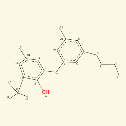 CCCCc1[c]c(Cc2cc(C)cc(C(C)(C)C)c2O)cc(C)c1